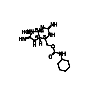 N=C1N[C@H]2[C@H](COC(=O)NC3CCCCC3)NC(=N)N3CC[C@H](O)[C@]23N1